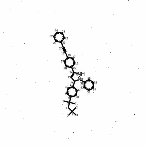 CC(C)(C)CC(C)(C)c1ccc(C2C=C(c3ccc(C#Cc4ccccc4)cc3)NN2c2ccccc2)cc1